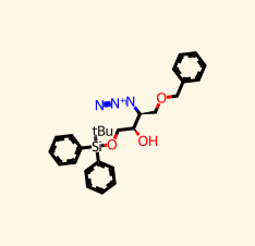 CC(C)(C)[Si](OC[C@H](O)[C@H](COCc1ccccc1)N=[N+]=[N-])(c1ccccc1)c1ccccc1